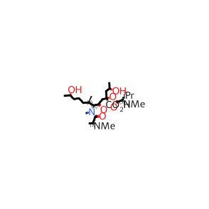 CN[C@@H](C)C(=O)N(C)[C@@H](C(=O)CC(CC(C)O)(OC(=O)[C@@H](NC)C(C)C)C(=O)O)[C@H](C)CCCC(C)O